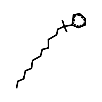 CCCCCCCCCCCCC(C)(C)c1ccccc1